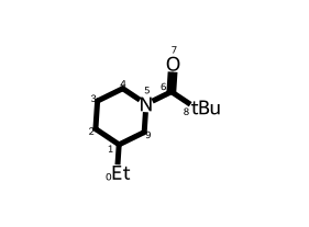 CCC1CCCN(C(=O)C(C)(C)C)C1